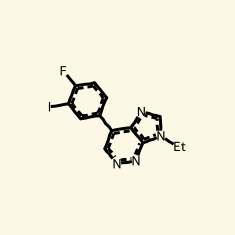 CCn1cnc2c(-c3ccc(F)c(I)c3)cnnc21